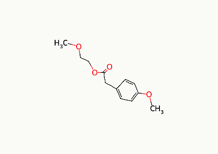 COCCOC(=O)Cc1ccc(OC)cc1